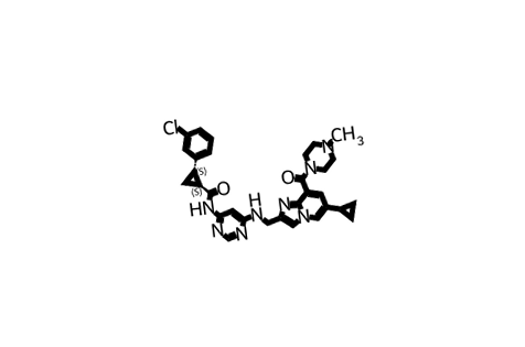 CN1CCN(C(=O)c2cc(C3CC3)cn3cc(CNc4cc(NC(=O)[C@H]5C[C@@H]5c5cccc(Cl)c5)ncn4)nc23)CC1